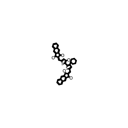 O=C1C(=Cc2cc3c(s2)-c2sc(C=C4C(=O)c5cc6ccccc6cc5C4=O)cc2C2(CCCCC2)O3)C(=O)c2cc3ccccc3cc21